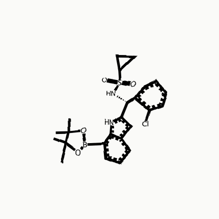 CC1(C)OB(c2cccc3cc([C@H](NS(=O)(=O)C4CC4)c4ccccc4Cl)[nH]c23)OC1(C)C